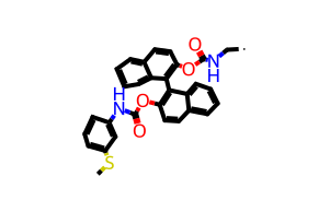 [CH2]CNC(=O)Oc1ccc2ccccc2c1-c1c(OC(=O)Nc2cccc(SC)c2)ccc2ccccc12